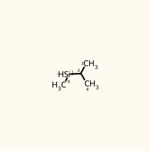 C[SiH]C(C)C